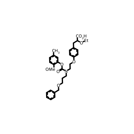 CCOC(Cc1ccc(OCCN(CCCOCc2ccccc2)C(=O)Oc2cc(C)ccc2OC)cc1)C(=O)O